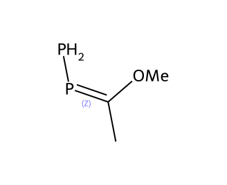 CO/C(C)=P\P